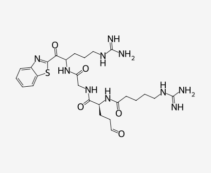 N=C(N)NCCCCC(=O)N[C@@H](CCC=O)C(=O)NCC(=O)NC(CCCNC(=N)N)C(=O)c1nc2ccccc2s1